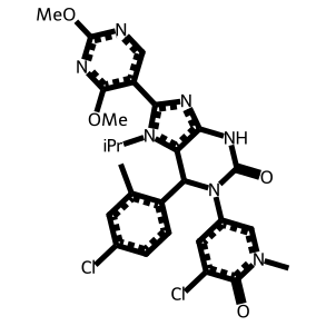 COc1ncc(-c2nc3c(n2C(C)C)C(c2ccc(Cl)cc2C)N(c2cc(Cl)c(=O)n(C)c2)C(=O)N3)c(OC)n1